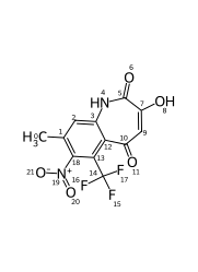 Cc1cc2[nH]c(=O)c(O)cc(=O)c2c(C(F)(F)F)c1[N+](=O)[O-]